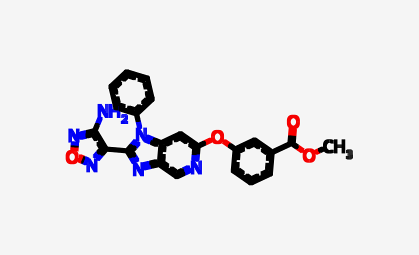 COC(=O)c1cccc(Oc2cc3c(cn2)nc(-c2nonc2N)n3-c2ccccc2)c1